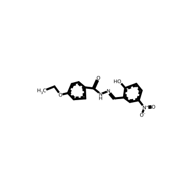 CCOc1ccc(C(=O)NN=Cc2cc([N+](=O)[O-])ccc2O)cc1